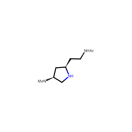 CN[C@@H]1CN[C@H](CCNC(C)=O)C1